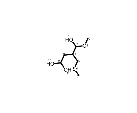 COC(O)C(CSC)CC(O)O